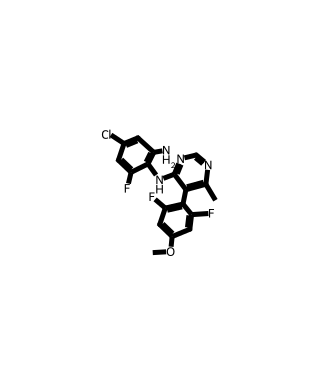 COc1cc(F)c(-c2c(C)ncnc2Nc2c(N)cc(Cl)cc2F)c(F)c1